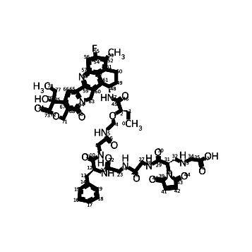 CC[C@H](OCNC(=O)CNC(=O)[C@H](Cc1ccccc1)NC(=O)CNC(=O)CNC(=O)[C@H](CNCC(=O)O)N1C(=O)C=CC1=O)C(=O)N[C@H]1CCc2c(C)c(F)cc3nc4c(c1c23)Cn1c-4cc2c(c1=O)COC(=O)[C@]2(O)CC